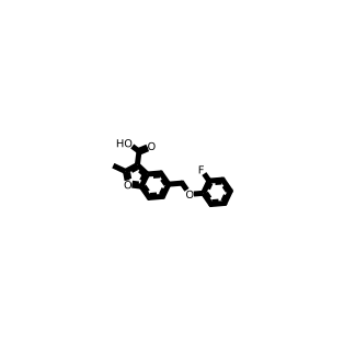 Cc1oc2ccc(COc3ccccc3F)cc2c1C(=O)O